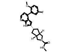 CNC(=O)N1C[C@H]2C[C@@H](c3cc4c(-c5cc(F)ccc5OC)ccnc4[nH]3)C[C@H]2C1